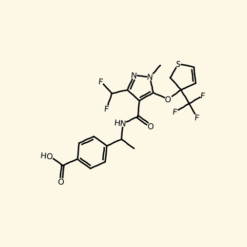 CC(NC(=O)c1c(C(F)F)nn(C)c1OC1(C(F)(F)F)C=CSC1)c1ccc(C(=O)O)cc1